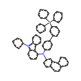 c1ccc(-n2c3ccccc3c3c(N(c4ccc(-c5cccc([Si](c6ccccc6)(c6ccccc6)c6ccccc6)c5)cc4)c4ccc5ccc6ccccc6c5c4)cccc32)cc1